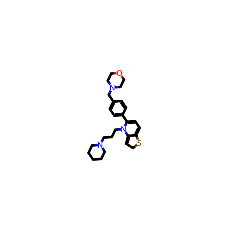 C1=C2SCC=C2N(CCCN2CCCCC2)C(c2ccc(CN3CCOCC3)cc2)=C1